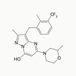 Cc1nn2c(O)cc(N3CCOC(C)C3)nc2c1Cc1cccc(C(F)(F)F)c1C